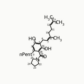 CCCCCc1cc(O)c(CC=C(C)CCC=C(C)C)c(O)c1C(=O)N1CCCC1